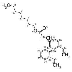 C=CC(=O)OCCCCCCCC.C=Cc1ccccc1.C=Cc1ccccc1